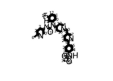 Cc1ccc(NC(=O)N(c2cccc(F)c2)C2CCN(Cc3ccc(-c4ccc(NS(C)(=O)=O)cc4)nc3)CC2)cn1